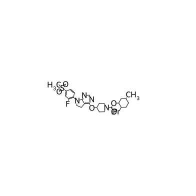 CC1CCC(C(C)C)C(OC(=O)N2CCC(Oc3ncnc4c3CCN4c3ccc(S(C)(=O)=O)cc3F)CC2)C1